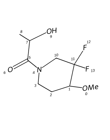 COC1CCN(C(=O)C(C)O)CC1(F)F